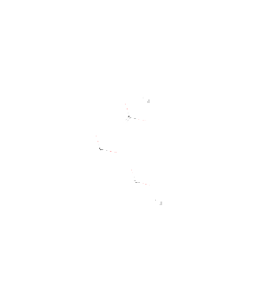 O=C([O-])[O-].O=C([O-])[O-].O=C([O-])[O-].[Ni+3].[Ni+3]